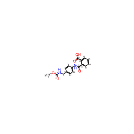 COC(=O)NCc1ccc(NC(=O)c2ccccc2C(=O)O)cc1